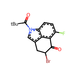 CC(C)(C)C(=O)n1cc2c3c(c(F)ccc31)C(=O)C(Br)C2